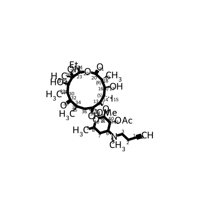 C#CCCN(C)C1CC(C)O[C@@H](O[C@@H]2[C@@H](I)[C@H](O)[C@@H](C)C(=O)O[C@H](CC)[C@@](C)(O)[C@H](O)[C@@H](C)C(=O)[C@H](C)C[C@@]2(C)OC)[C@@H]1OC(C)=O